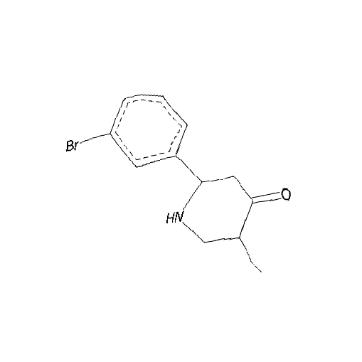 CC1CNC(c2cccc(Br)c2)CC1=O